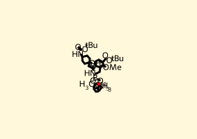 COc1c(CC(NC(=O)CC2(O)CCC(NC(=O)OC(C)(C)C)CC2)B2OC3CC4CC(C4(C)C)C3(C)O2)cccc1C(=O)OC(C)(C)C